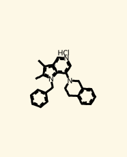 Cc1c(C)n(Cc2ccccc2)c2c(N3CCc4ccccc4C3)cncc12.Cl